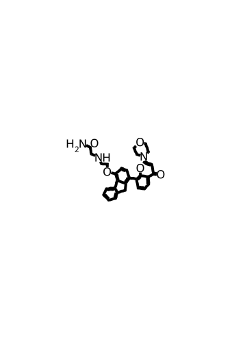 NC(=O)CNCCOc1ccc(-c2cccc3c(=O)cc(N4CCOCC4)oc23)c2c1-c1ccccc1C2